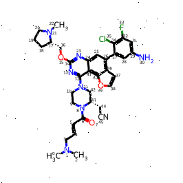 CN(C)C/C=C/C(=O)N1CCN(c2nc(OC[C@@H]3CCCN3C)nc3cc(-c4cc(N)cc(F)c4Cl)c4ccoc4c23)C[C@@H]1CC#N